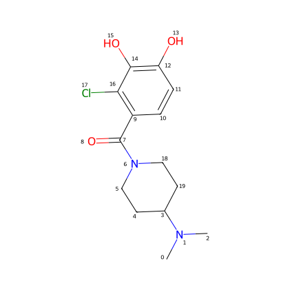 CN(C)C1CCN(C(=O)c2ccc(O)c(O)c2Cl)CC1